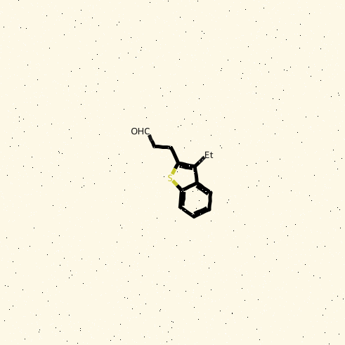 CCc1c(CCC=O)sc2ccccc12